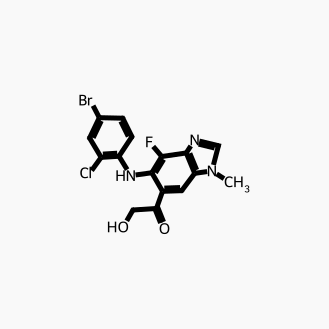 Cn1cnc2c(F)c(Nc3ccc(Br)cc3Cl)c(C(=O)CO)cc21